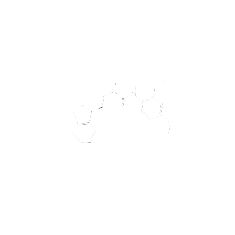 COc1ccc(NC(=S)N(C)CC[C@@H]2C[C@@H](C)c3ccc(Cl)cc32)c(OC)c1